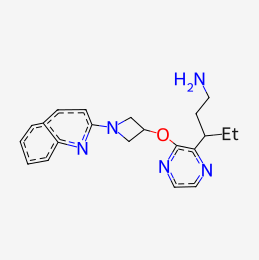 CCC(CCN)c1nccnc1OC1CN(c2ccc3ccccc3n2)C1